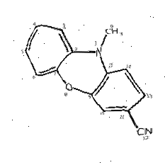 CN1c2ccccc2Oc2cc(C#N)ccc21